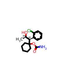 C[C@@H](O)[C@@H](c1ccccc1Cl)C1(OC(N)=O)CCCCC1